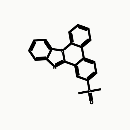 CP(C)(=O)c1ccc2c3ccccc3n3c4ccccc4nc3c2c1